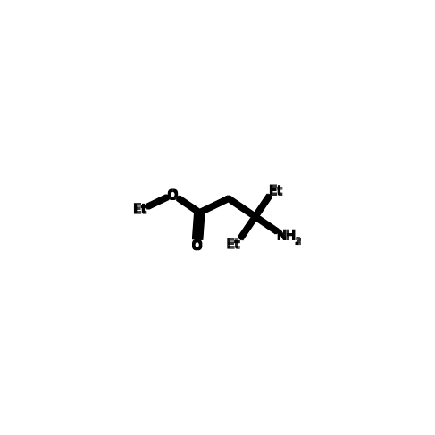 CCOC(=O)CC(N)(CC)CC